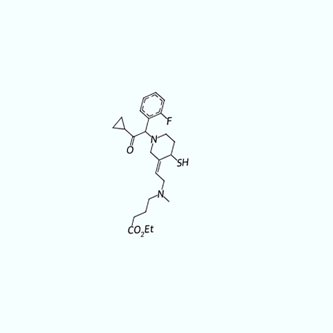 CCOC(=O)CCCN(C)C/C=C1/CN(C(C(=O)C2CC2)c2ccccc2F)CCC1S